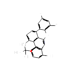 CC1=CC(C)(C)Nc2ccc3c(c21)/C(=C\c1ccccc1C)Oc1c(F)cc(F)cc1-3